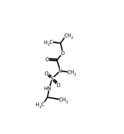 CC(C)NS(=O)(=O)N(C)C(=O)OC(C)C